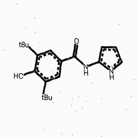 CC(C)(C)c1cc(C(=O)Nc2ccc[nH]2)cc(C(C)(C)C)c1O